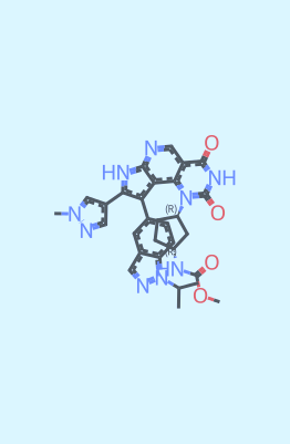 COC(=O)N[C@@H]1CC[C@@H](n2c(=O)[nH]c(=O)c3cnc4[nH]c(-c5cnn(C)c5)c(-c5ccc6c(cnn6C(C)C)c5)c4c32)C1